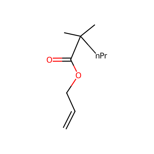 C=CCOC(=O)C(C)(C)CCC